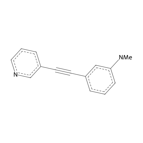 CNc1cccc(C#Cc2cccnc2)c1